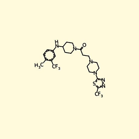 Cc1ccc(NC2CCN(C(=O)CCN3CCN(c4nnc(C(F)(F)F)s4)CC3)CC2)cc1C(F)(F)F